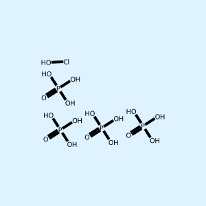 O=P(O)(O)O.O=P(O)(O)O.O=P(O)(O)O.O=P(O)(O)O.OCl